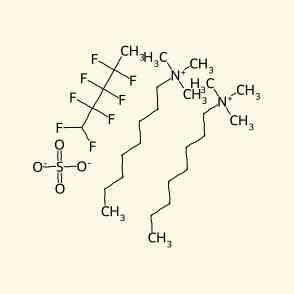 CC(F)(F)C(F)(F)C(F)(F)C(F)F.CCCCCCCC[N+](C)(C)C.CCCCCCCC[N+](C)(C)C.O=S(=O)([O-])[O-]